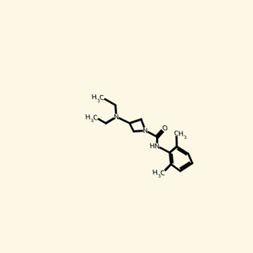 CCN(CC)C1CN(C(=O)Nc2c(C)cccc2C)C1